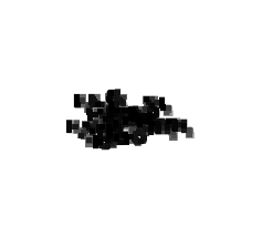 C[C@@H](O)[C@H](NC(=O)[C@H](CCN)NC(=O)[C@H](CCN)NC(=O)[C@H](CC(C)(C)Cl)NC(=O)[C@@H](Cc1ccccc1)NC(=O)[C@H](CCN)NC(=O)[C@@H](N)CCN)C(=O)O